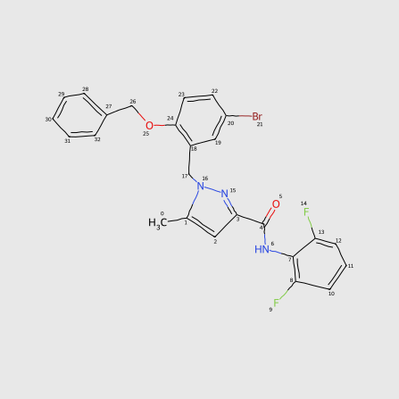 Cc1cc(C(=O)Nc2c(F)cccc2F)nn1Cc1cc(Br)ccc1OCc1ccccc1